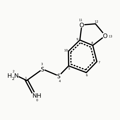 N=C(N)SSc1ccc2c(c1)OCO2